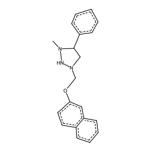 CN1NN(COc2ccc3ccccc3c2)CC1c1ccccc1